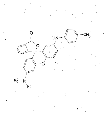 CCN(CC)c1ccc2c(c1)Oc1ccc(Nc3ccc(C)cc3)cc1C21OC(=O)c2ccccc21